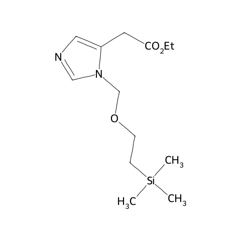 CCOC(=O)Cc1cncn1COCC[Si](C)(C)C